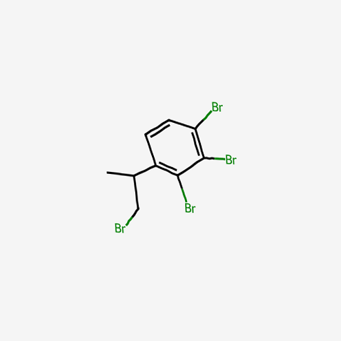 CC(CBr)c1ccc(Br)c(Br)c1Br